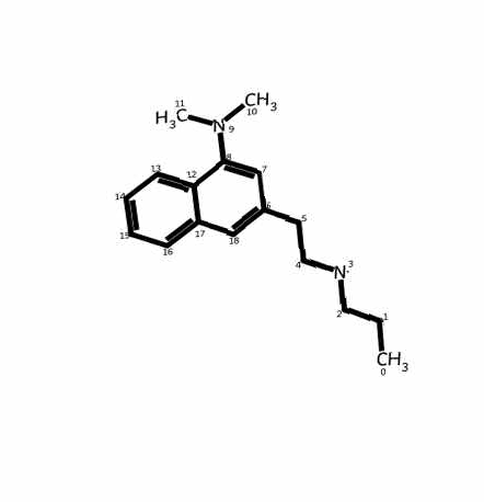 CCC[N]CCc1cc(N(C)C)c2ccccc2c1